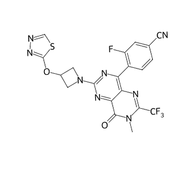 Cn1c(C(F)(F)F)nc2c(-c3ccc(C#N)cc3F)nc(N3CC(Oc4nncs4)C3)nc2c1=O